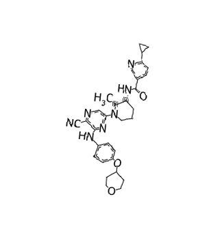 C[C@@H]1[C@H](NC(=O)c2ccc(C3CC3)nc2)CCCN1c1cnc(C#N)c(Nc2ccc(OC3CCOCC3)cc2)n1